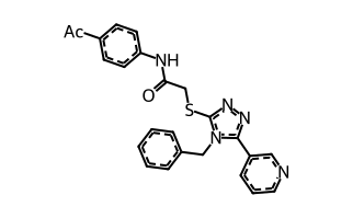 CC(=O)c1ccc(NC(=O)CSc2nnc(-c3cccnc3)n2Cc2ccccc2)cc1